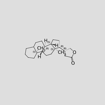 C[C@]12CC[C@H]3[C@@H](CCC4CCCC[C@@]43C)[C@@H]1CC[C@@H]2[C@@H]1COC(=O)C1